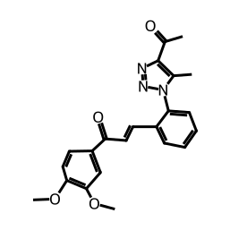 COc1ccc(C(=O)/C=C/c2ccccc2-n2nnc(C(C)=O)c2C)cc1OC